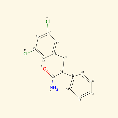 NC(=O)C(Cc1cc(Cl)cc(Cl)c1)c1ccccc1